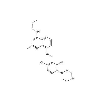 C/C=C\Nc1cc(C)nc2c(OCc3c(Cl)cnc(N4CCNCC4)c3Cl)cccc12